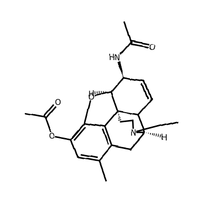 CC(=O)N[C@H]1C=CC2[C@H]3Cc4c(C)cc(OC(C)=O)c5c4[C@@]2(CCN3C)[C@H]1O5